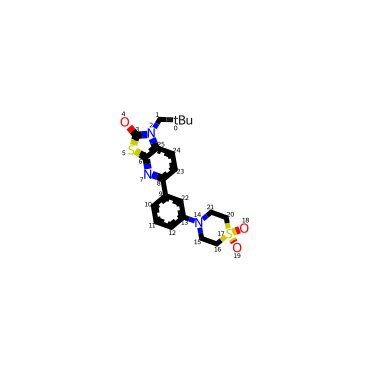 CC(C)(C)Cn1c(=O)sc2nc(-c3cccc(N4CCS(=O)(=O)CC4)c3)ccc21